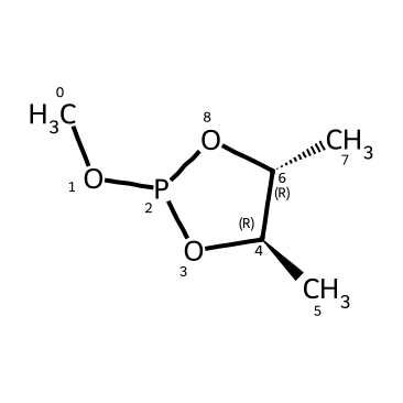 COP1O[C@H](C)[C@@H](C)O1